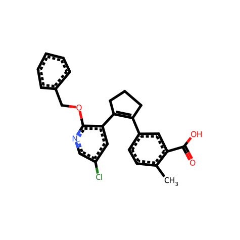 Cc1ccc(C2=C(c3cc(Cl)cnc3OCc3ccccc3)CCC2)cc1C(=O)O